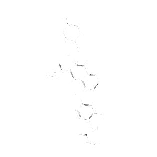 CNC(=O)Nc1ccc(Oc2ccnc3cc(OCC4CCN(C)CC4)c(C(=O)NC)cc23)cc1C